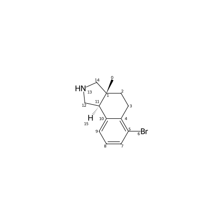 C[C@@]12CCc3c(Br)cccc3[C@H]1CNC2